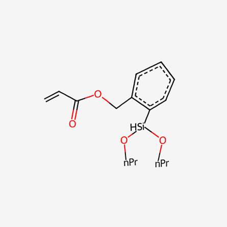 C=CC(=O)OCc1ccccc1[SiH](OCCC)OCCC